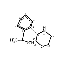 CC(C)c1ccccc1[C@H]1COCCN1